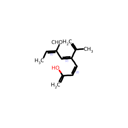 C=C(O)\C=C/C(=C/C(C=O)=C\C)C(=C)C